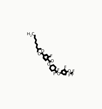 C=CCCCCCC1COC(c2ccc(C(=O)OC3CCC(C(F)(F)Oc4ccc(OC(F)(F)F)c(F)c4)CC3)c(F)c2)OC1